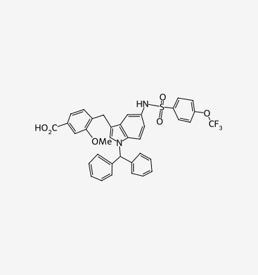 COc1cc(C(=O)O)ccc1Cc1cn(C(c2ccccc2)c2ccccc2)c2ccc(NS(=O)(=O)c3ccc(OC(F)(F)F)cc3)cc12